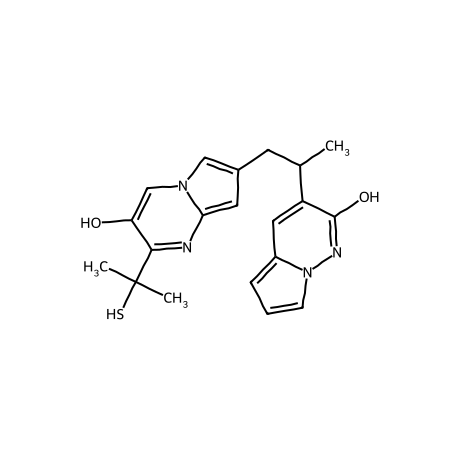 CC(Cc1cc2nc(C(C)(C)S)c(O)cn2c1)c1cc2cccn2nc1O